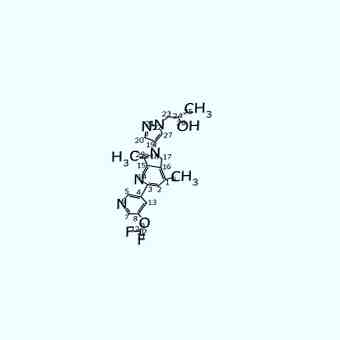 Cc1cc(-c2cncc(OC(F)F)c2)nc2c1CN(c1cnn(C[C@H](C)O)c1)C2C